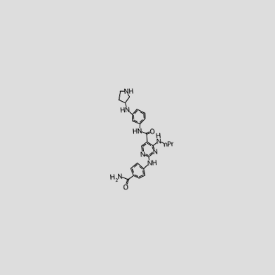 CCCNc1nc(Nc2ccc(C(N)=O)cc2)ncc1C(=O)Nc1cccc(NC2CCNC2)c1